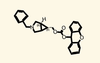 O=C(OC[C@@H]1C2CN(Cc3ccccc3)C[C@H]21)OC1c2ccccc2Oc2ccccc21